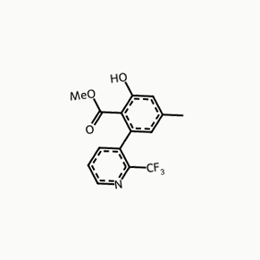 COC(=O)c1c(O)cc(C)cc1-c1cccnc1C(F)(F)F